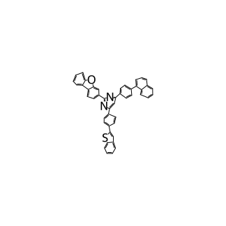 c1ccc2sc(-c3ccc(-c4cc(-c5ccc(-c6cccc7ccccc67)cc5)nc(-c5ccc6c(c5)oc5ccccc56)n4)cc3)cc2c1